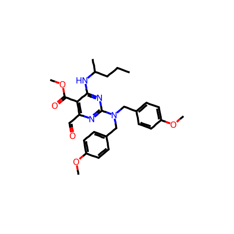 CCCC(C)Nc1nc(N(Cc2ccc(OC)cc2)Cc2ccc(OC)cc2)nc(C=O)c1C(=O)OC